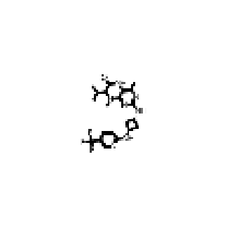 Cc1nc(N[C@H]2C[C@H](Nc3ccc(C(F)(F)F)cn3)C2)nc2c1NC(=O)C(C(C)C)N2C